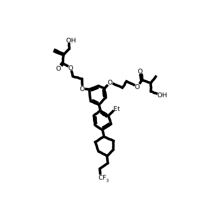 C=C(CO)C(=O)OCCOc1cc(OCCOC(=O)C(C)CO)cc(-c2ccc(C3CCC(CCC(F)(F)F)CC3)cc2CC)c1